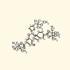 COC(C)(C)Cc1ccc(C2Oc3cc(B4OC(C)(C)C(C)(C)O4)cc(F)c3-c3cc4cc(B5OC(C)(C)C(C)(C)O5)ccc4n32)s1